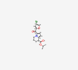 CC(C)OC(=O)C1CCCn2c(C(=O)c3cc(Br)co3)ccc21